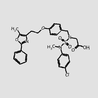 Cc1oc(-c2ccccc2)nc1CCOc1ccc(CN(CC(=O)O)S(=O)(=O)N(C)c2ccc(Cl)cc2)cc1